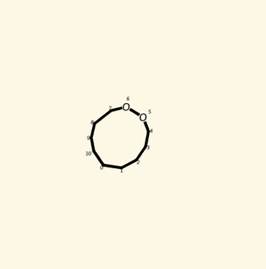 C1CCCCOOCCCC1